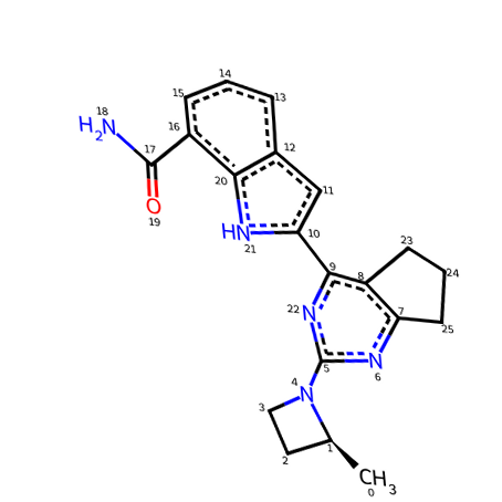 C[C@H]1CCN1c1nc2c(c(-c3cc4cccc(C(N)=O)c4[nH]3)n1)CCC2